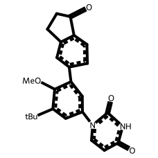 COc1c(-c2ccc3c(c2)CCC3=O)cc(-n2ccc(=O)[nH]c2=O)cc1C(C)(C)C